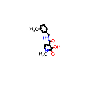 Cc1cccc(CNC(=O)c2ccn(C)c(=O)c2O)c1